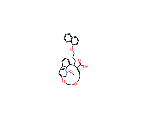 CO[N+]12C=C3C=C(C1)OCCOCC/C=C(/C(=O)O)C(CCCOc1cccc4ccccc14)C1=CC=CC3C12